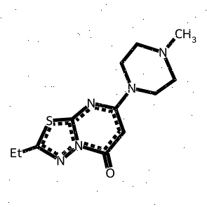 CCc1nn2c(=O)cc(N3CCN(C)CC3)nc2s1